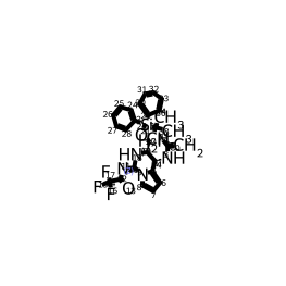 C=C(N)N[C@@H]1c2cccn2/C(=N\C(=O)C(F)(F)F)N[C@H]1CO[Si](c1ccccc1)(c1ccccc1)C(C)(C)C